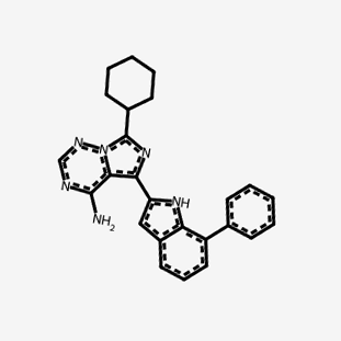 Nc1ncnn2c(C3CCCCC3)nc(-c3cc4cccc(-c5ccccc5)c4[nH]3)c12